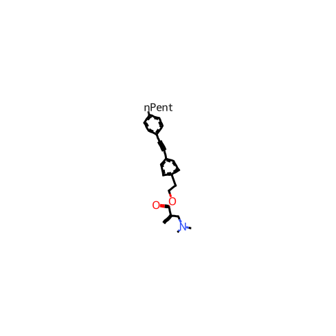 C=C(CN(C)C)C(=O)OCCc1ccc(C#Cc2ccc(CCCCC)cc2)cc1